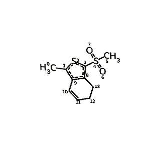 Cc1sc(S(C)(=O)=O)c2c1C=CCC2